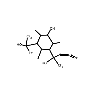 CCC(O)(C1C(C)C(O)C(C)C(C(O)(N=[N+]=[N-])C(F)(F)F)C1C)C(F)(F)F